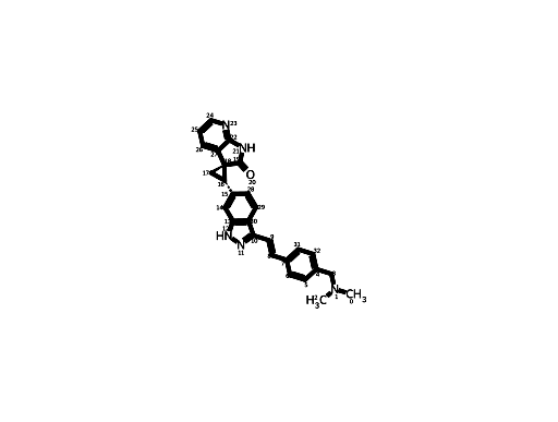 CN(C)Cc1ccc(/C=C/c2n[nH]c3cc([C@@H]4C[C@@]45C(=O)Nc4ncccc45)ccc23)cc1